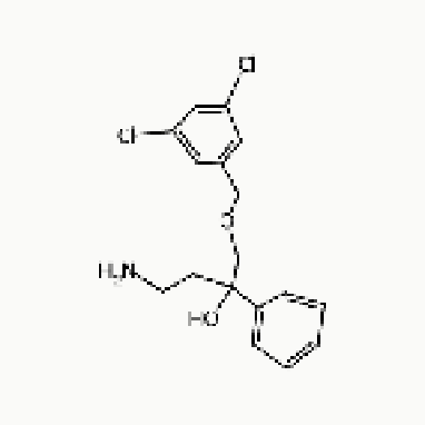 NCCC(O)(COCc1cc(Cl)cc(Cl)c1)c1ccccc1